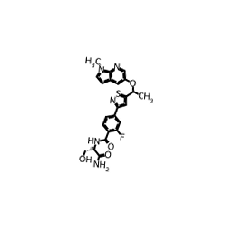 CC(Oc1cnc2c(ccn2C)c1)c1cc(-c2ccc(C(=O)N[C@@H](CO)C(N)=O)c(F)c2)ns1